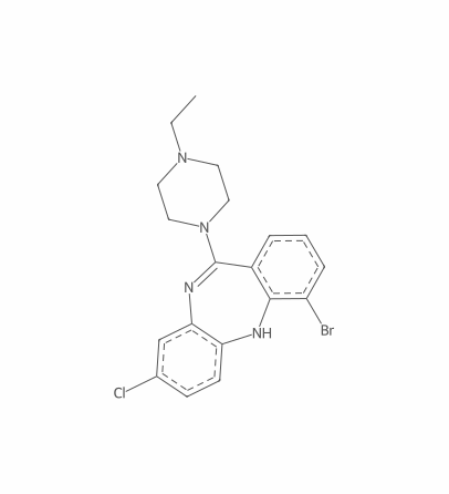 CCN1CCN(C2=Nc3cc(Cl)ccc3Nc3c(Br)cccc32)CC1